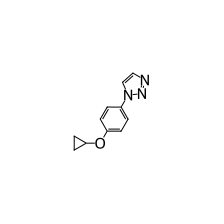 c1cn(-c2ccc(OC3CC3)cc2)nn1